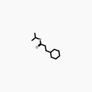 CC(C)[N]C(=O)CCC1CCCCC1